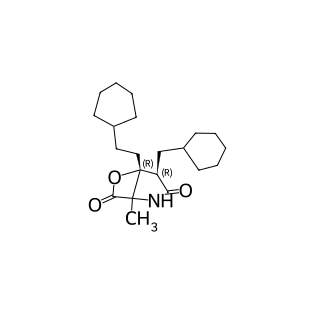 CC12NC(=O)[C@H](CC3CCCCC3)[C@@]1(CCC1CCCCC1)OC2=O